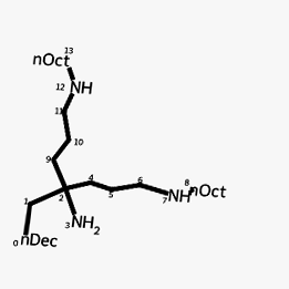 CCCCCCCCCCCC(N)(CCCNCCCCCCCC)CCCNCCCCCCCC